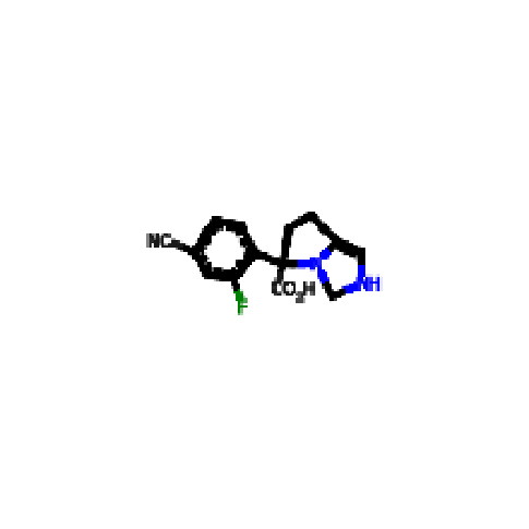 N#Cc1ccc(C2(C(=O)O)CCC3=CNCN32)c(F)c1